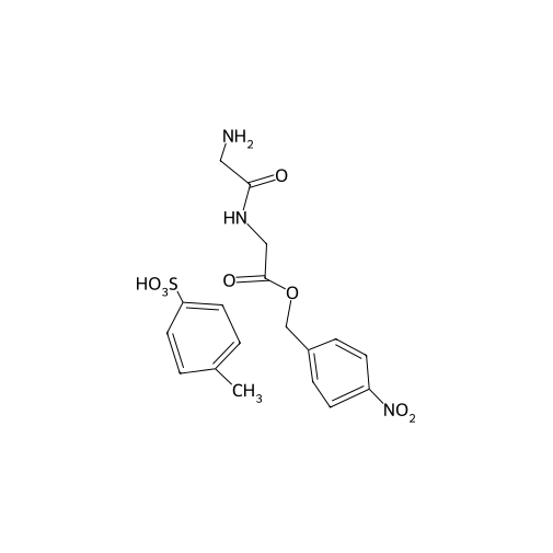 Cc1ccc(S(=O)(=O)O)cc1.NCC(=O)NCC(=O)OCc1ccc([N+](=O)[O-])cc1